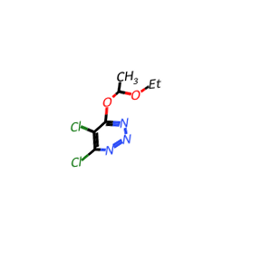 CCOC(C)Oc1nnnc(Cl)c1Cl